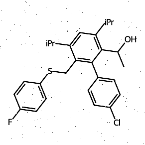 CC(C)c1cc(C(C)C)c(C(C)O)c(-c2ccc(Cl)cc2)c1CSc1ccc(F)cc1